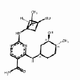 C[C@@H]1CC[C@@H](Nc2nc(NC34CC(C(C)(C)C)(C3)[C@@H]4C)ncc2C(N)=O)C[C@H]1O